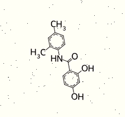 Cc1ccc(NC(=O)c2ccc(O)cc2O)c(C)c1